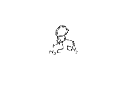 C=Cc1c(/C=C\C)c2ccccc2n1I